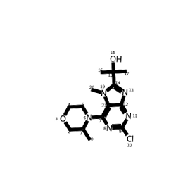 CC1COCCN1c1nc(Cl)nc2nc(C(C)(C)O)n(C)c12